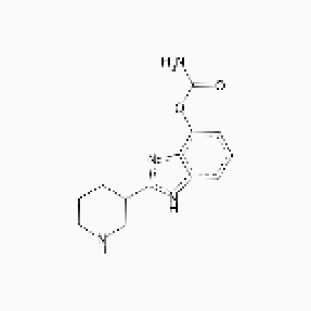 NC(=O)Oc1cccc2[nH]c(C3CCCNC3)nc12